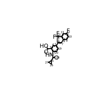 O=C(O)c1cc(/C=C/c2ccc(F)cc2C(F)(F)F)ccc1NC(=O)C1CC1